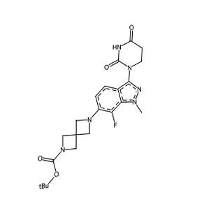 Cn1nc(N2CCC(=O)NC2=O)c2ccc(N3CC4(CN(C(=O)OC(C)(C)C)C4)C3)c(F)c21